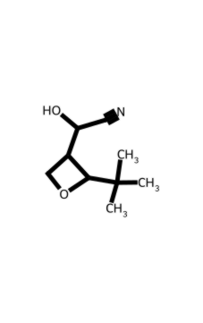 CC(C)(C)C1OCC1C(O)C#N